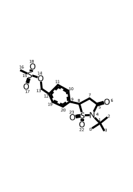 CC(C)(C)N1C(=O)CC(c2ccc(COS(C)(=O)=O)cc2)S1(=O)=O